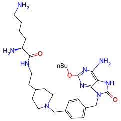 CCCCOc1nc(N)c2[nH]c(=O)n(Cc3ccc(CN4CCC(CCNC(=O)[C@@H](N)CCCCN)CC4)cc3)c2n1